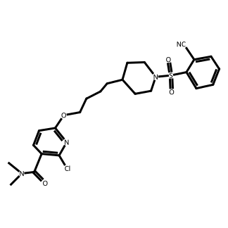 CN(C)C(=O)c1ccc(OCCCCC2CCN(S(=O)(=O)c3ccccc3C#N)CC2)nc1Cl